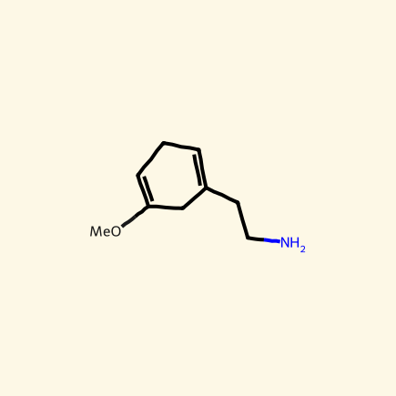 COC1=CCC=C(CCN)C1